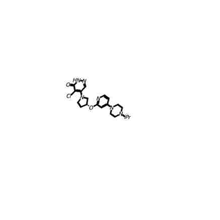 CC(C)N1CCN(c2ccnc(O[C@@H]3CCN(c4cn[nH]c(=O)c4Cl)C3)c2)CC1